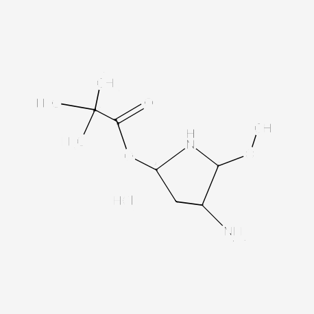 COC1NC(OC(=O)C(C)(C)C)CC1N.Cl